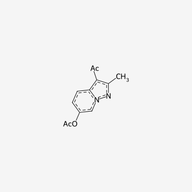 CC(=O)Oc1ccc2c(C(C)=O)c(C)nn2c1